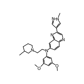 COc1cc(OC)cc(N(CCN2CCCC(C)C2)c2ccc3ncc(-c4cnn(C)c4)nc3c2)c1